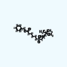 C[Si](C)(C)C#CCP(=O)(O)CCCCCC(=O)OCc1ccccc1